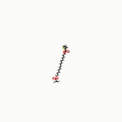 C=C(C)C(=O)OCCCCCCCCCCCCCCCCOC(=O)c1cccs1